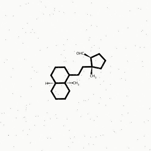 C[C@]1(CCC2CCC[C@@H]3CCCC[C@]23C)CCC[C@@H]1C=O